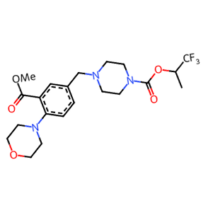 COC(=O)c1cc(CN2CCN(C(=O)OC(C)C(F)(F)F)CC2)ccc1N1CCOCC1